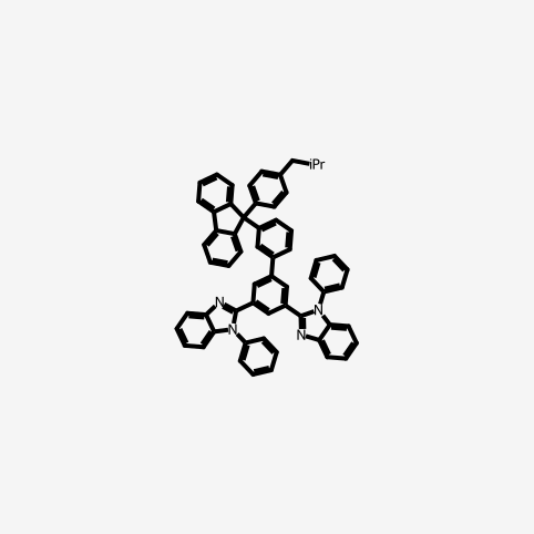 CC(C)Cc1ccc(C2(c3cccc(-c4cc(-c5nc6ccccc6n5-c5ccccc5)cc(-c5nc6ccccc6n5-c5ccccc5)c4)c3)c3ccccc3-c3ccccc32)cc1